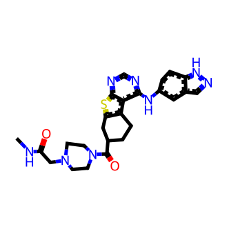 CNC(=O)CN1CCN(C(=O)C2CCc3c(sc4ncnc(Nc5ccc6[nH]ncc6c5)c34)C2)CC1